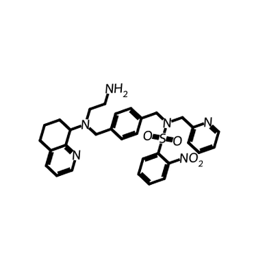 NCCN(Cc1ccc(CN(Cc2ccccn2)S(=O)(=O)c2ccccc2[N+](=O)[O-])cc1)C1CCCc2cccnc21